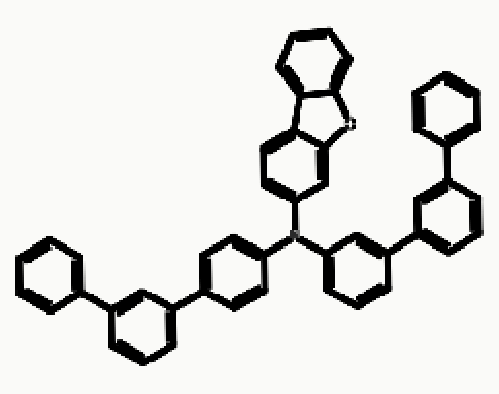 c1ccc(-c2cccc(-c3ccc(N(c4cccc(-c5cccc(-c6ccccc6)c5)c4)c4ccc5c(c4)oc4ccccc45)cc3)c2)cc1